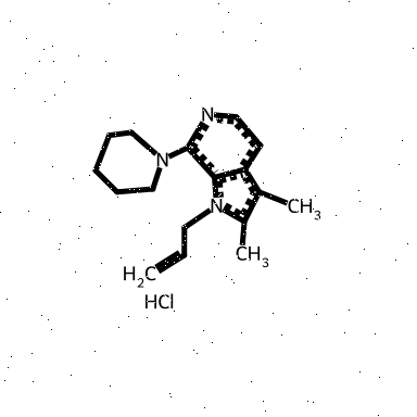 C=CCn1c(C)c(C)c2ccnc(N3CCCCC3)c21.Cl